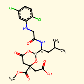 COC(=O)[C@]1(CC(=O)O)CC(=O)OB([C@H](CC(C)C)NC(=O)CNc2cc(Cl)ccc2Cl)O1